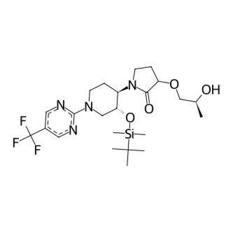 C[C@H](O)COC1CCN([C@@H]2CCN(c3ncc(C(F)(F)F)cn3)C[C@H]2O[Si](C)(C)C(C)(C)C)C1=O